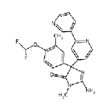 Cc1cc(C2(c3ccnc(-c4cccnc4)c3)N=C(N)N(C)C2=O)ccc1OC(F)F